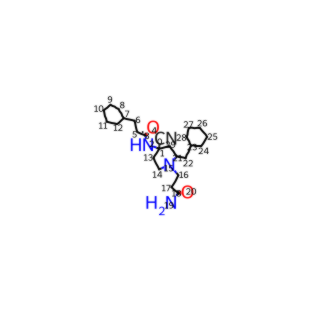 N#CC1(NC(=O)[CH]CC2CCCCC2)CCN(CCC(N)=O)C(CC2CCCCC2)C1